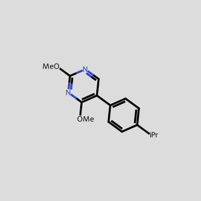 COc1ncc(-c2ccc(C(C)C)cc2)c(OC)n1